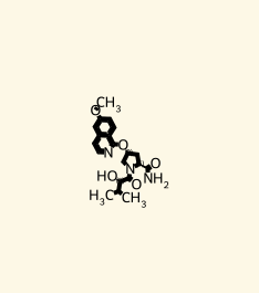 COc1ccc2c(O[C@@H]3C[C@@H](C(N)=O)N(C(=O)[C@@H](O)C(C)C)C3)nccc2c1